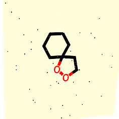 [CH]1CC2(CCCCC2)OO1